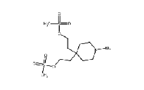 CC(C)(C)N1CCC(CCOS(C)(=O)=O)(CCOS(C)(=O)=O)CC1